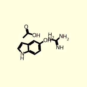 CC(=O)O.N=C(N)N.Oc1ccc2[nH]ccc2c1